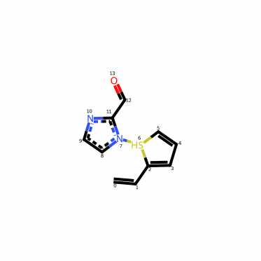 C=CC1=CC=C[SH]1n1ccnc1C=O